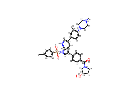 Cc1ccc(S(=O)(=O)n2cc(-c3ccc(C(=O)N4CC[C@H](O)C4)cc3)c3cc(-c4ccc(N5CCN(C)CC5)c(C)c4)cnc32)cc1